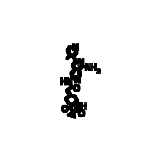 Cc1ccncc1-c1cc2cc(NC(=O)C=C3CCC4(CC3)NC(=O)C3(CC3)C4=O)ncc2c(N)n1